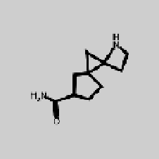 NC(=O)C1CCC2(C1)CC21CCN1